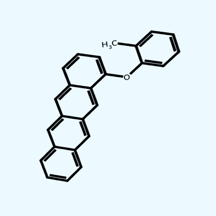 Cc1ccccc1Oc1cccc2cc3cc4ccccc4cc3cc12